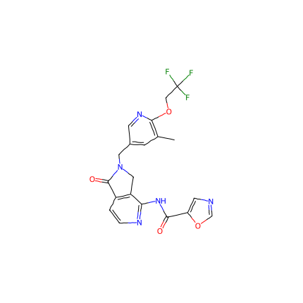 Cc1cc(CN2Cc3c(ccnc3NC(=O)c3cnco3)C2=O)cnc1OCC(F)(F)F